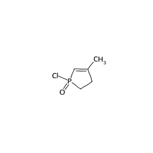 CC1=CP(=O)(Cl)CC1